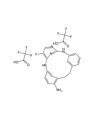 Nc1ccc2cc1CCc1cccc(c1)Nc1ncc(F)c(n1)N2.O=C(O)C(F)(F)F.O=C(O)C(F)(F)F